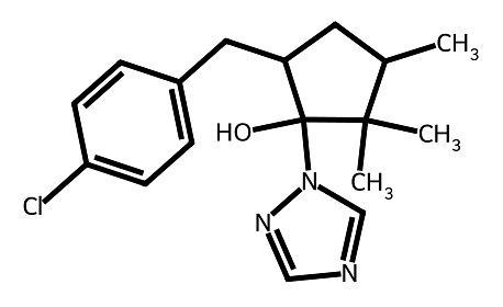 CC1CC(Cc2ccc(Cl)cc2)C(O)(n2cncn2)C1(C)C